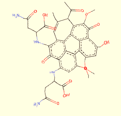 COc1c2c3c4c(c(NC(CC(N)=O)C(=O)O)c(=O)c5c(NC(CC(N)=O)C(=O)O)cc(OC)c(c6c(OC)cc(O)c(c1=O)c63)c54)C=C(C)C2C(C)=O